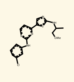 COCC(C)Nc1ncc(-c2ccnc(Nc3cccc(Cl)c3)n2)s1